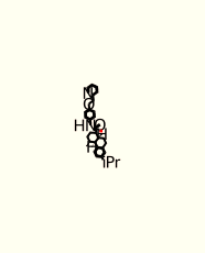 CC(C)c1ccc2c(c1)CC[C@@H]1[C@@H]2[C@@H](C)CC[C@@]1(C)C(=O)Nc1ccc(OCc2ccccn2)cc1